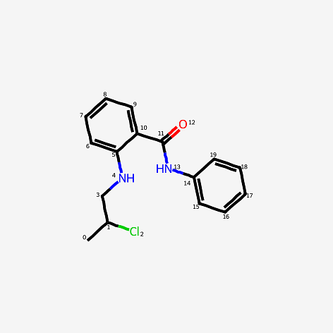 CC(Cl)CNc1ccccc1C(=O)Nc1ccccc1